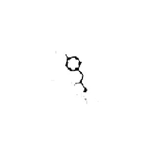 CCCCCCN=CC(N)Cc1ccc(C(C)(C)C)cc1.Cl.Cl